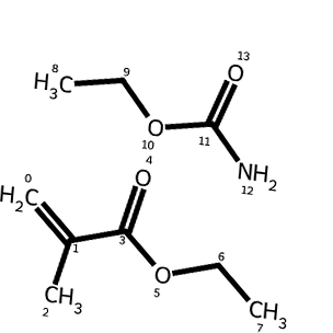 C=C(C)C(=O)OCC.CCOC(N)=O